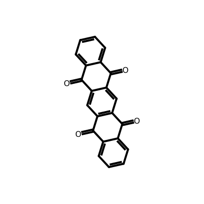 O=c1c2ccccc2c(=O)c2cc3c(=O)c4ccccc4c(=O)c3cc12